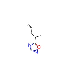 C=CCC(C)c1ncno1